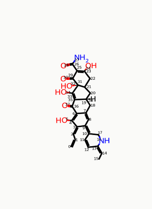 C=C/C=c1/c(O)c2c(c/c1=C1C=C/C(=C\C)NC/1)C[C@H]1CC3CC(O)=C(C(N)=O)C(=O)[C@@]3(O)C(O)=C1C2=O